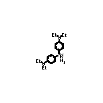 B.CCN(CC)c1ccc(Pc2ccc(N(CC)CC)cc2)cc1